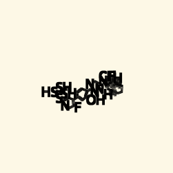 CN(c1cnc(-c2ccc(-c3cc(SC(S)(S)S)ncc3F)cc2O)nn1)[C@@H]1C[C@H]2CCC[C@H](C2)[C@@H]1F